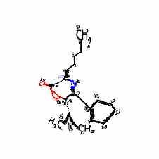 C=CCC/C=C1\N=C(c2ccccc2)[C@H](C(C)C)OC1=O